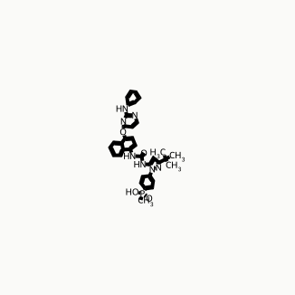 CC(C)(C)c1cc(NC(=O)Nc2ccc(Oc3ccnc(Nc4ccccc4)n3)c3ccccc23)n(-c2ccc(P(C)(=O)O)cc2)n1